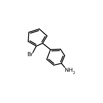 Nc1ccc(-c2ccccc2Br)cc1